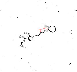 C=C/C=C(\CCC)C1=CC[C@H](CCC(O)CCCC2(O)CCCCCCC2=C)C1C